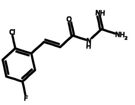 N=C(N)NC(=O)C=Cc1cc(F)ccc1Cl